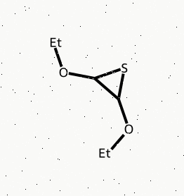 CCOC1SC1OCC